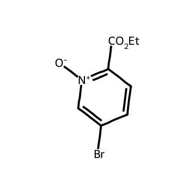 CCOC(=O)c1ccc(Br)c[n+]1[O-]